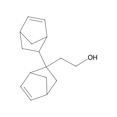 OCCC1(C2CC3C=CC2C3)CC2C=CC1C2